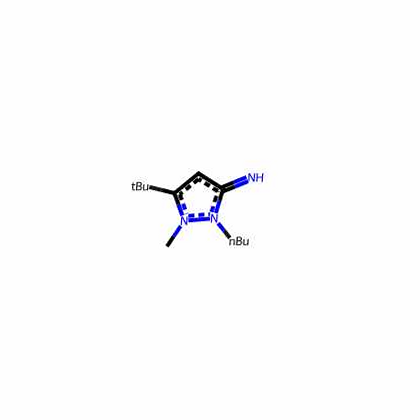 CCCCn1c(=N)cc(C(C)(C)C)n1C